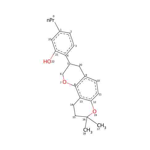 CCCc1ccc(C2COc3c(ccc4c3CCC(C)(C)O4)C2)c(O)c1